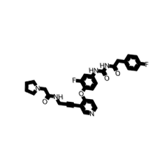 O=C(CN1CCCC1)NCC#Cc1cnccc1Oc1ccc(NC(=O)NC(=O)Cc2ccc(F)cc2)cc1F